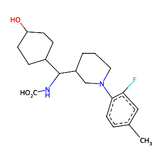 Cc1ccc(N2CCCC(C(NC(=O)O)C3CCC(O)CC3)C2)c(F)c1